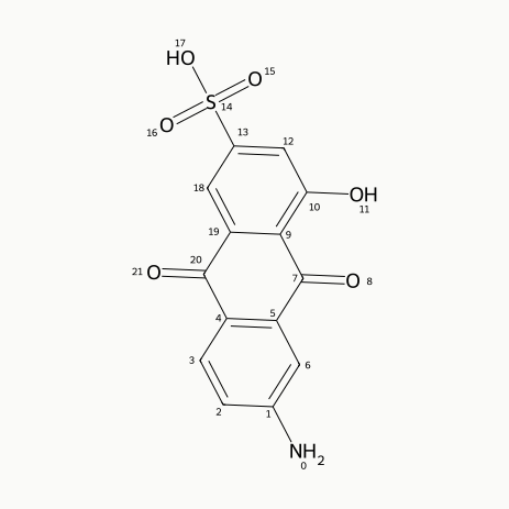 Nc1ccc2c(c1)C(=O)c1c(O)cc(S(=O)(=O)O)cc1C2=O